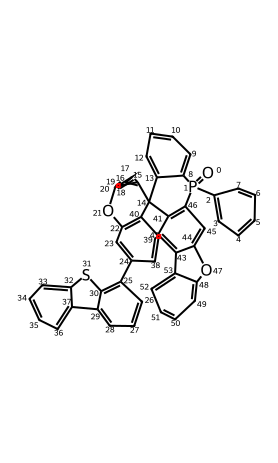 O=P1(c2ccccc2)c2ccccc2C2(c3ccccc3Oc3cc(-c4cccc5c4sc4ccccc45)ccc32)c2cc3c(cc21)oc1ccccc13